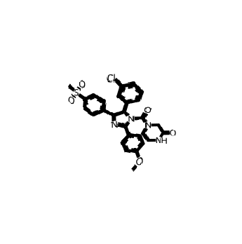 COc1ccc(C2=NC(c3ccc(S(C)(=O)=O)cc3)C(c3cccc(Cl)c3)N2C(=O)N2CCNC(=O)C2)cc1